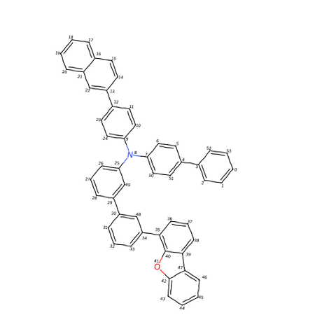 c1ccc(-c2ccc(N(c3ccc(-c4ccc5ccccc5c4)cc3)c3cccc(-c4cccc(-c5cccc6c5oc5ccccc56)c4)c3)cc2)cc1